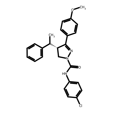 COc1ccc(C2=NN(C(=O)Nc3ccc(Cl)cc3)C[C@@H]2C(C)c2ccccc2)cc1